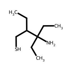 CCC(CS)C(N)(CC)CC